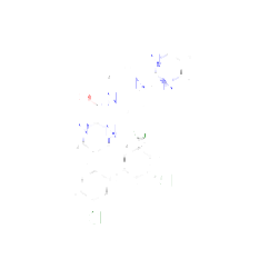 O=C(c1ncc(-c2ccc(Cl)cc2)c(-c2ccc(Cl)cc2Cl)n1)N1CCN(c2ncccn2)CC1